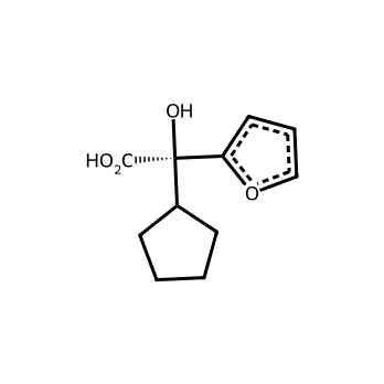 O=C(O)[C@](O)(c1ccco1)C1CCCC1